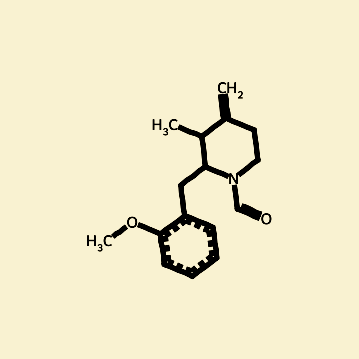 C=C1CCN(C=O)C(Cc2ccccc2OC)C1C